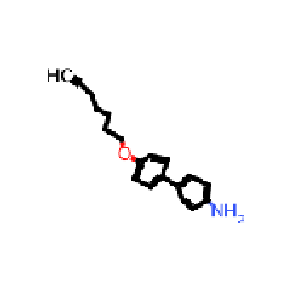 C#CCCCCCOc1ccc(-c2ccc(N)cc2)cc1